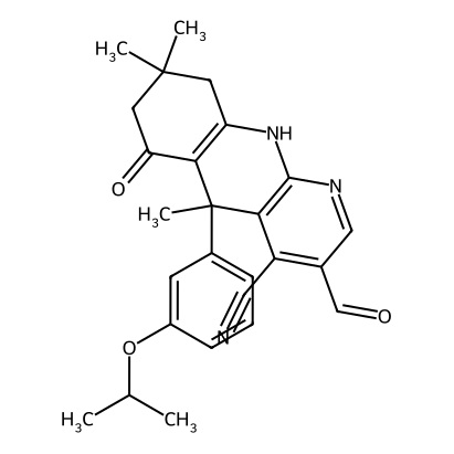 CC(C)Oc1cccc(C2(C)C3=C(CC(C)(C)CC3=O)Nc3ncc(C=O)c(C#N)c32)c1